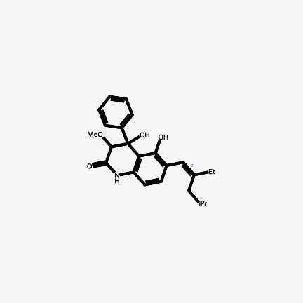 CC/C(=C/c1ccc2c(c1O)C(O)(c1ccccc1)C(OC)C(=O)N2)CC(C)C